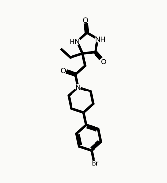 CCC1(CC(=O)N2CCC(c3ccc(Br)cc3)CC2)NC(=O)NC1=O